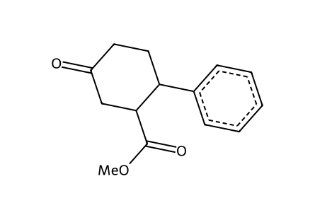 COC(=O)C1CC(=O)CCC1c1ccccc1